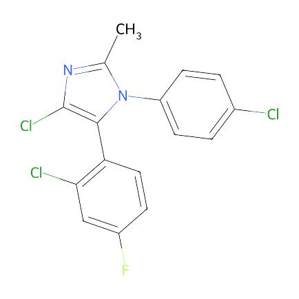 Cc1nc(Cl)c(-c2ccc(F)cc2Cl)n1-c1ccc(Cl)cc1